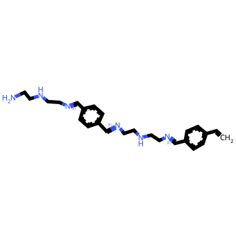 C=Cc1ccc(/C=N/CCNCC/N=C/c2ccc(/C=N/CCNCCN)cc2)cc1